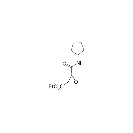 CCOC(=O)C1OC1C(=O)NC1CCCC1